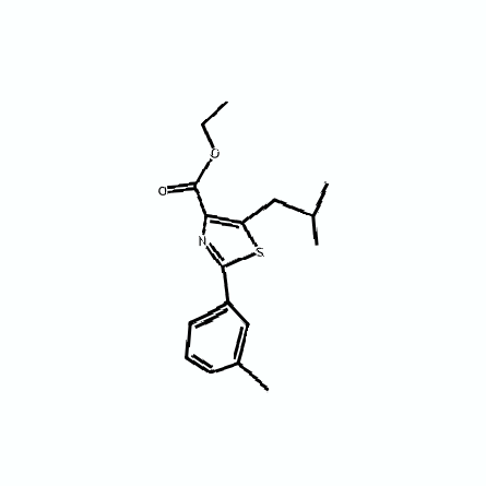 CCOC(=O)c1nc(-c2cccc(C)c2)sc1CC(C)C